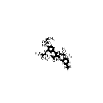 CCS(=O)(=O)Nc1ccc(-c2nn(C(C)(C)C)c(Nc3cccc(C(F)(F)F)n3)c2C(N)=O)cc1OCC(C)C